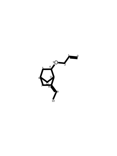 C=CCOC1CC2CC(=CC)C1C2